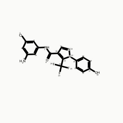 Nc1cc(Cl)cc(NC(=O)c2cnn(-c3ccc(O)cc3)c2C(F)(F)F)c1